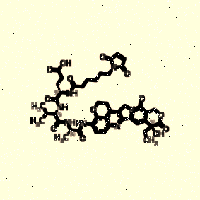 CC[C@@]1(O)C(=O)OCc2c1cc1n(c2=O)Cc2c-1nc1ccc(NC(=O)[C@H](C)NC(=O)[C@@H](NC(=O)[C@H](CCC(=O)O)NC(=O)CCCCCN3C(=O)C=CC3=O)C(C)C)c3c1c2CCO3